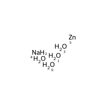 O.O.O.O.[NaH].[Zn]